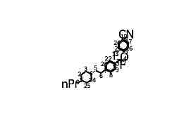 CCC[C@H]1CC[C@H](CCc2ccc(C(F)(F)Oc3ccc(C#N)cc3)cc2)CC1